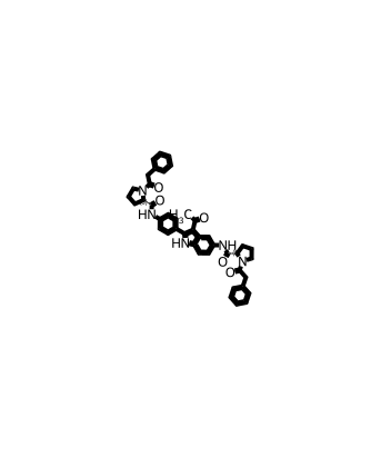 CC(=O)c1c(-c2ccc(NC(=O)[C@@H]3CCCN3C(=O)Cc3ccccc3)cc2)[nH]c2ccc(NC(=O)[C@@H]3CCCN3C(=O)Cc3ccccc3)cc12